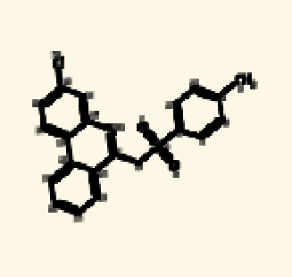 Cc1ccc(S(=O)(=O)Cc2nc3cc(Cl)ccc3c3ccccc23)cc1